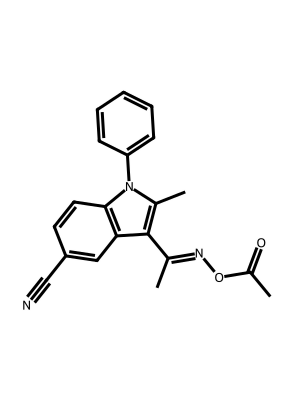 CC(=O)O/N=C(\C)c1c(C)n(-c2ccccc2)c2ccc(C#N)cc12